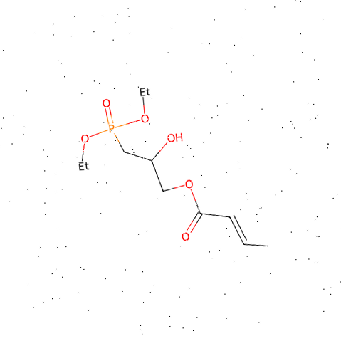 CC=CC(=O)OCC(O)CP(=O)(OCC)OCC